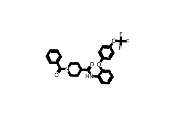 O=C(Nc1ccccc1Oc1ccc(OC(F)(F)F)cc1)C1CCN(C(=O)c2ccccc2)CC1